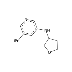 CC(C)c1cncc(NC2CCOC2)c1